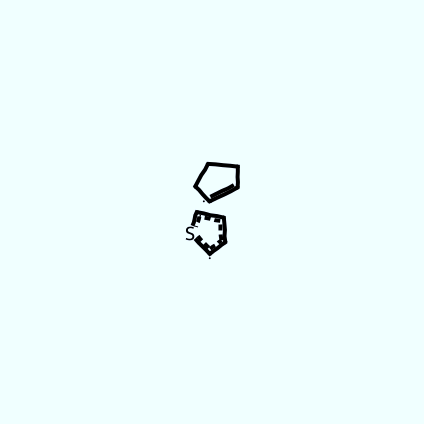 [C]1=CCCC1.[c]1cccs1